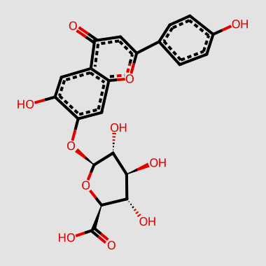 O=C(O)[C@H]1O[C@@H](Oc2cc3oc(-c4ccc(O)cc4)cc(=O)c3cc2O)[C@H](O)[C@@H](O)[C@@H]1O